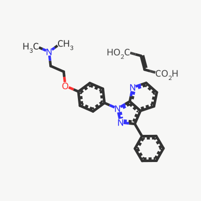 CN(C)CCOc1ccc(-n2nc(-c3ccccc3)c3cccnc32)cc1.O=C(O)C=CC(=O)O